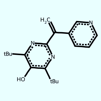 C=C(c1cccnc1)c1nc(C(C)(C)C)c(O)c(C(C)(C)C)n1